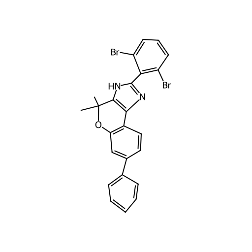 CC1(C)Oc2cc(-c3ccccc3)ccc2-c2nc(-c3c(Br)cccc3Br)[nH]c21